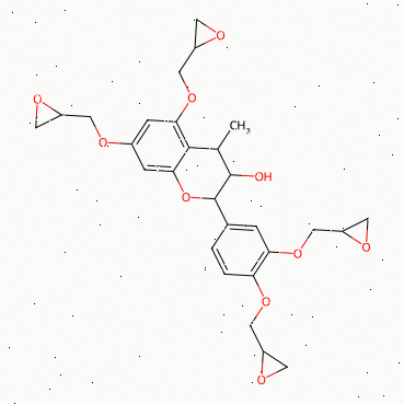 CC1c2c(OCC3CO3)cc(OCC3CO3)cc2OC(c2ccc(OCC3CO3)c(OCC3CO3)c2)C1O